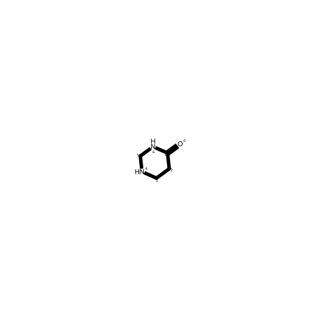 O=C1CCN[CH]N1